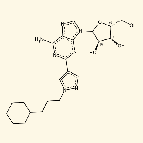 Nc1nc(-c2cnn(CCCC3CCCCC3)c2)nc2c1ncn2C1O[C@H](CO)[C@@H](O)[C@H]1O